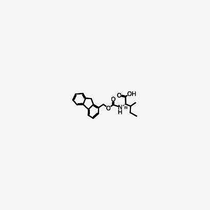 CCC(C)[C@H](NC(=O)OCc1cccc2c1Cc1ccccc1-2)C(=O)O